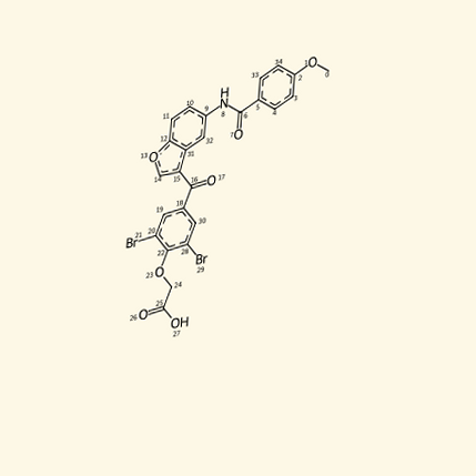 COc1ccc(C(=O)Nc2ccc3occ(C(=O)c4cc(Br)c(OCC(=O)O)c(Br)c4)c3c2)cc1